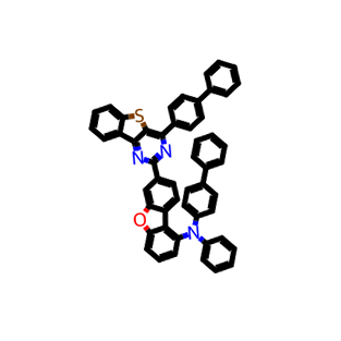 c1ccc(-c2ccc(-c3nc(-c4ccc5c(c4)oc4cccc(N(c6ccccc6)c6ccc(-c7ccccc7)cc6)c45)nc4c3sc3ccccc34)cc2)cc1